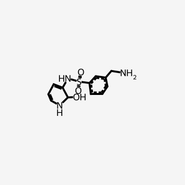 NCc1cccc(S(=O)(=O)NC2=CC=CNC2O)c1